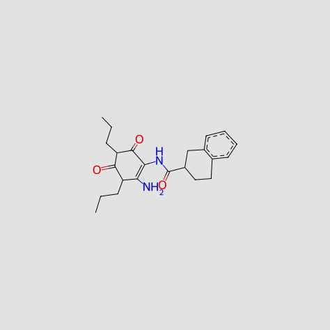 CCCC1C(=O)C(NC(=O)C2CCc3ccccc3C2)=C(N)C(CCC)C1=O